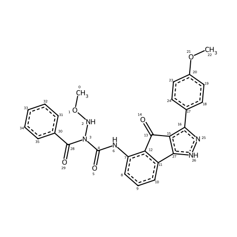 CONN(C(=O)Nc1cccc2c1C(=O)c1c(-c3ccc(OC)cc3)n[nH]c1-2)C(=O)c1ccccc1